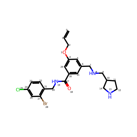 C=CCOc1cc(CNCC2CCNC2)cc(C(=O)NCc2ccc(Cl)cc2Br)c1